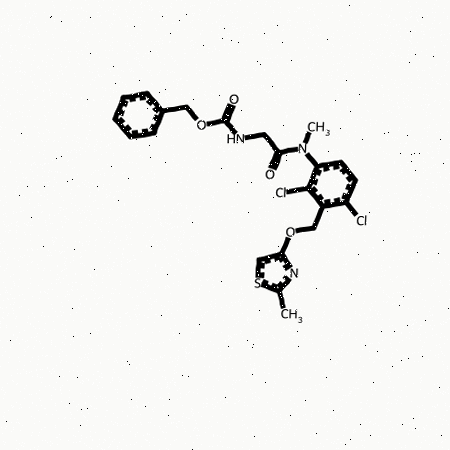 Cc1nc(OCc2c(Cl)ccc(N(C)C(=O)CNC(=O)OCc3ccccc3)c2Cl)cs1